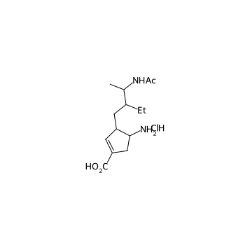 CCC(CC1C=C(C(=O)O)CC1N)C(C)NC(C)=O.Cl